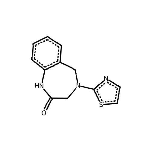 O=C1CN(c2nccs2)Cc2ccccc2N1